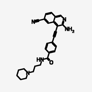 N#Cc1ccc2cnc(N)c(C#Cc3ccc(C(=O)NCCCN4CCCCC4)cc3)c2c1